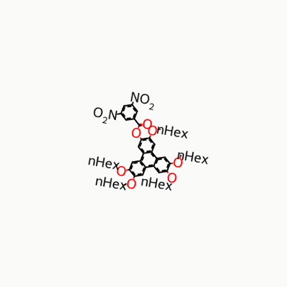 CCCCCCOc1cc2c3cc(OCCCCCC)c(OCCCCCC)cc3c3cc(OC(=O)c4cc([N+](=O)[O-])cc([N+](=O)[O-])c4)c(OCCCCCC)cc3c2cc1OCCCCCC